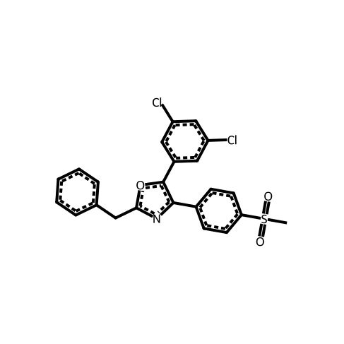 CS(=O)(=O)c1ccc(-c2nc(Cc3ccccc3)oc2-c2cc(Cl)cc(Cl)c2)cc1